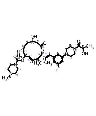 C/C(=C\c1cc(F)cc(N2CCN(C(=O)[C@@H](C)O)CC2)c1)[C@H]1OC(=O)C[C@@H](O)CC[C@@H](C)C(OC(=O)N2CCN(C)CC2)/C=C/[C@@H]1C